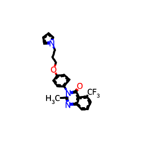 Cc1nc2cccc(C(F)(F)F)c2c(=O)n1-c1ccc(OCCCn2cccc2)cc1